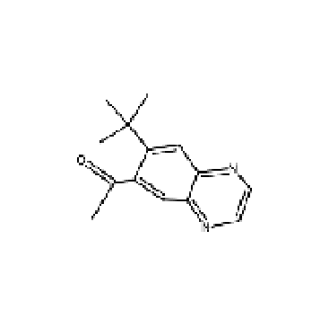 CC(=O)c1cc2nccnc2cc1C(C)(C)C